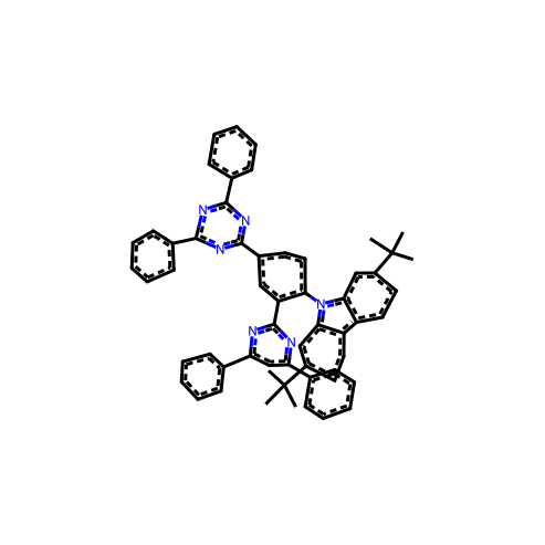 CC(C)(C)c1ccc2c3ccc(C(C)(C)C)cc3n(-c3ccc(-c4nc(-c5ccccc5)nc(-c5ccccc5)n4)cc3-c3nc(-c4ccccc4)cc(-c4ccccc4)n3)c2c1